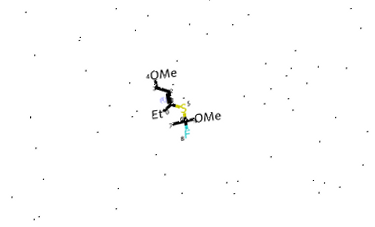 CC/C(=C\COC)SC(C)(F)OC